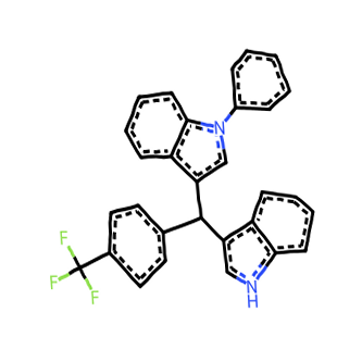 FC(F)(F)c1ccc(C(c2c[nH]c3ccccc23)c2cn(-c3ccccc3)c3ccccc23)cc1